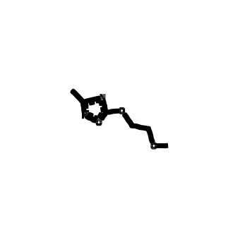 COCCOc1nc(C)no1